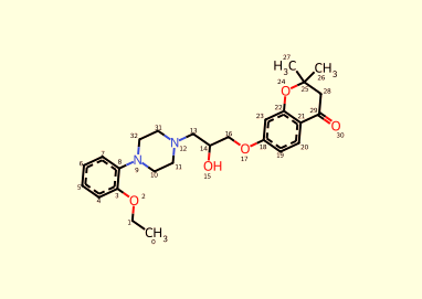 CCOc1ccccc1N1CCN(CC(O)COc2ccc3c(c2)OC(C)(C)CC3=O)CC1